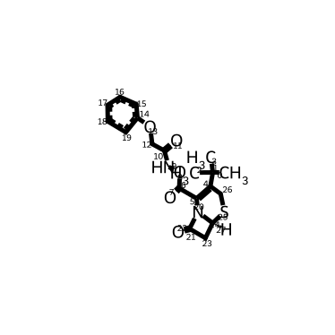 CC(C)(C)C1=C(C(=O)ONC(=O)COc2ccccc2)N2C(=O)C[C@@H]2SC1